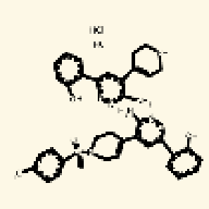 Cc1ccc(S(=O)(=O)N2CC=C(c3cc(-c4ccccc4O)nnc3N)CC2)cc1.Cl.Cl.Nc1nnc(-c2ccccc2O)cc1C1=CCNCC1